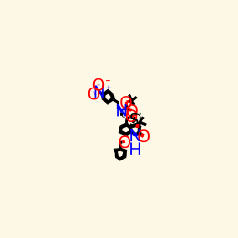 CC(C)(C)OC(=O)N(CCc1ccc([N+](=O)[O-])cc1)C[C@H](O[Si](C)(C)C(C)(C)C)c1ccc(OCc2ccccc2)c2[nH]c(=O)ccc12